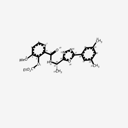 CCOC(=O)Oc1c(OC)ccnc1C(=O)N[C@@H](C)c1nnc(-c2cc(C)cc(C)c2)o1